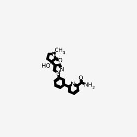 CN1CC[C@](O)(c2cnn(-c3cccc(-c4cccc(C(N)=O)n4)c3)c2)C1=O